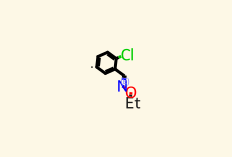 CCO/N=C/c1c[c]ccc1Cl